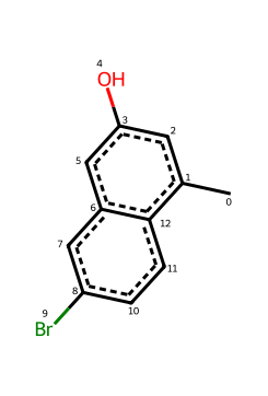 Cc1cc(O)cc2cc(Br)ccc12